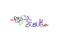 CC(C)(C)OC(=O)NCc1cn(Cc2cccc(Nc3sc(-c4c(F)cc(C(C)(C)O)cc4F)cc3C(N)=O)n2)nn1